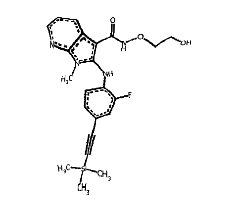 Cn1c(Nc2ccc(C#C[Si](C)(C)C)cc2F)c(C(=O)NOCCO)c2cccnc21